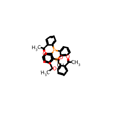 CC(=O)c1ccccc1P(c1ccccc1C(C)=O)c1ccccc1P(c1ccccc1C(C)=O)c1ccccc1C(C)=O